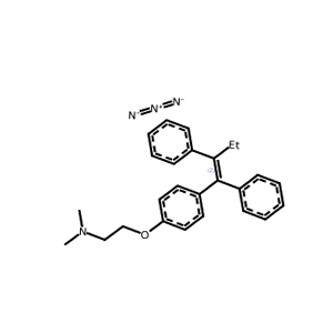 CC/C(=C(\c1ccccc1)c1ccc(OCCN(C)C)cc1)c1ccccc1.[N-]=[N+]=[N-]